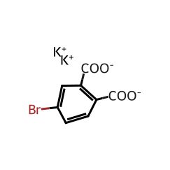 O=C([O-])c1ccc(Br)cc1C(=O)[O-].[K+].[K+]